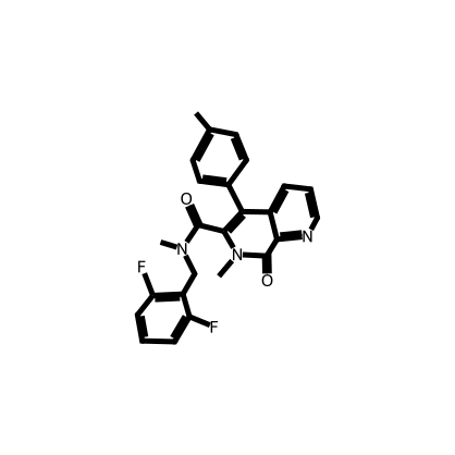 Cc1ccc(-c2c(C(=O)N(C)Cc3c(F)cccc3F)n(C)c(=O)c3ncccc23)cc1